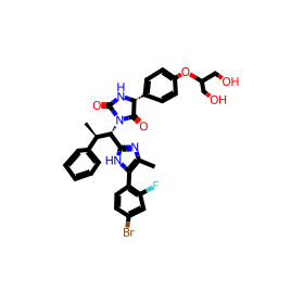 Cc1nc([C@H]([C@H](C)c2ccccc2)N2C(=O)N[C@H](c3ccc(OC(CO)CO)cc3)C2=O)[nH]c1-c1ccc(Br)cc1F